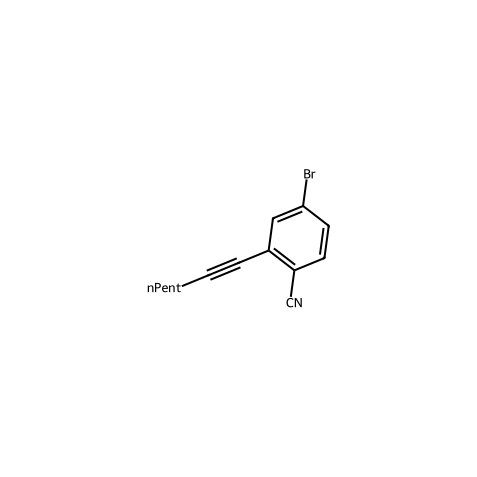 CCCCCC#Cc1cc(Br)ccc1C#N